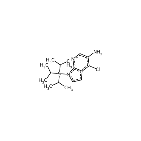 CC(C)[Si](C(C)C)(C(C)C)n1ccc2c(Cl)c(N)cnc21